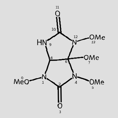 CON1C(=O)N(OC)C2(OC)C1NC(=O)N2OC